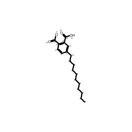 CCCCCCCCCCCc1ccc(C(=O)Cl)c(C(=O)O)c1